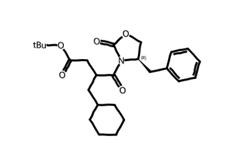 CC(C)(C)OC(=O)CC(CC1CCCCC1)C(=O)N1C(=O)OC[C@H]1Cc1ccccc1